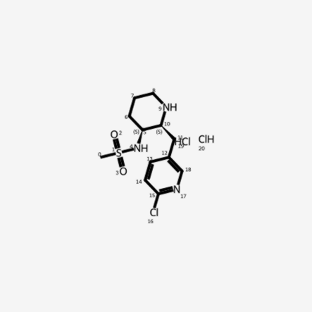 CS(=O)(=O)N[C@H]1CCCN[C@H]1Cc1ccc(Cl)nc1.Cl.Cl